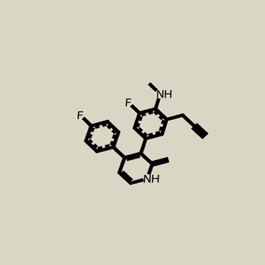 C#CCc1cc(C2=C(c3ccc(F)cc3)C=CNC2=C)cc(F)c1NC